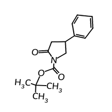 CC(C)(C)OC(=O)N1CC(c2ccccc2)CC1=O